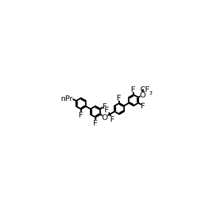 CCCc1ccc(-c2cc(F)c(OC(F)(F)c3ccc(-c4cc(F)c(OC(F)(F)F)c(F)c4)c(F)c3)c(F)c2)c(F)c1